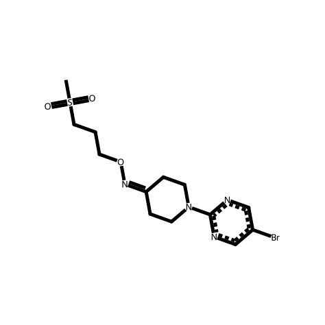 CS(=O)(=O)CCCON=C1CCN(c2ncc(Br)cn2)CC1